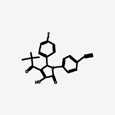 C#Cc1ccc(N2C(=O)C(O)=C(C(=O)C(C)(C)C)C2c2ccc(F)cc2)cc1